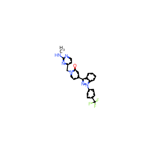 CNc1nccc(Cn2ccc(-c3nn(-c4ccc(C(F)(F)F)cc4)c4ccccc34)cc2=O)n1